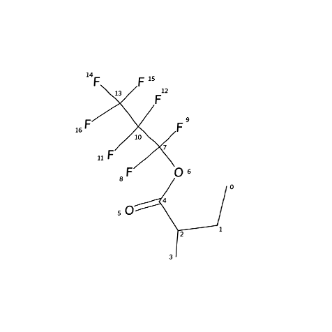 CCC(C)C(=O)OC(F)(F)C(F)(F)C(F)(F)F